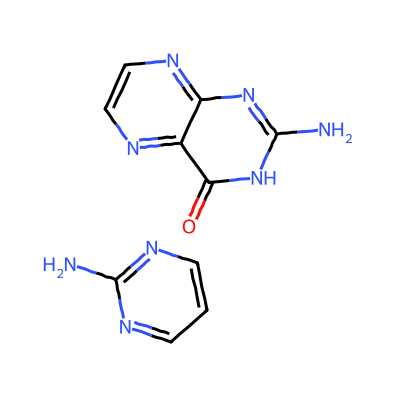 Nc1nc2nccnc2c(=O)[nH]1.Nc1ncccn1